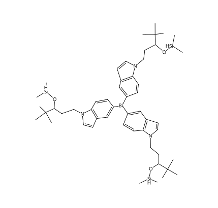 C[SiH](C)OC(CCn1ccc2c[c]([Bi]([c]3ccc4c(ccn4CCC(O[SiH](C)C)C(C)(C)C)c3)[c]3ccc4c(ccn4CCC(O[SiH](C)C)C(C)(C)C)c3)ccc21)C(C)(C)C